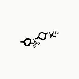 Cc1ccc(S(=O)(=O)OC2CCC(O[Si](C)(C)C(C)(C)C)CC2)cc1